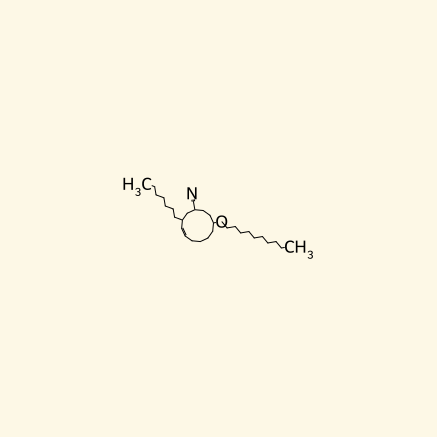 CCCCCCCCCCOC1CCCCC=CC(CCCCCCC)CC(C#N)CC1